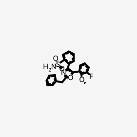 COc1c(F)cccc1-c1oc(Cc2ccccc2)nc1-c1ccccc1S(N)(=O)=O